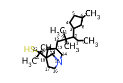 CCC(C1CCC(C)C1)C(C)(C)CC1CN2CCC(C(C)(C)S)(C1)C2